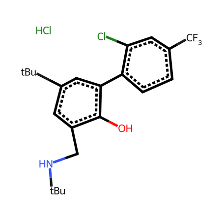 CC(C)(C)NCc1cc(C(C)(C)C)cc(-c2ccc(C(F)(F)F)cc2Cl)c1O.Cl